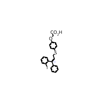 O=C(O)COc1ccc(SC/C=C(/c2ccccc2)c2ccccc2I)cc1